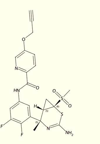 C#CCOc1ccc(C(=O)Nc2cc(F)c(F)c([C@@]3(C)N=C(N)S[C@@]4(S(C)(=O)=O)C[C@H]43)c2)nc1